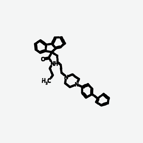 CCCNC(=O)C1(CCCCN2CCN(c3ccc(-c4ccccc4)cc3)CC2)c2ccccc2-c2ccccc21